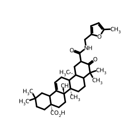 Cc1ccc(CNC(=O)C2C[C@@]3(C)C(CC[C@]4(C)C3CC=C3C5CC(C)(C)CC[C@]5(C(=O)O)CC[C@]34C)C(C)(C)C2=O)o1